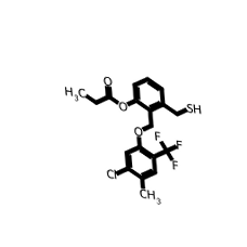 CCC(=O)Oc1cccc(CS)c1COc1cc(Cl)c(C)cc1C(F)(F)F